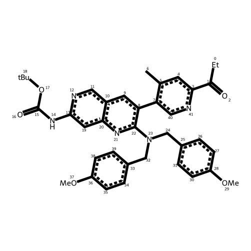 CCC(=O)c1cc(C)c(-c2cc3cnc(NC(=O)OC(C)(C)C)cc3nc2N(Cc2ccc(OC)cc2)Cc2ccc(OC)cc2)cn1